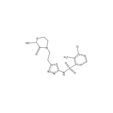 Cc1c(Cl)cccc1S(=O)(=O)Nc1nnc(CCN2CCOC(O)C2=O)s1